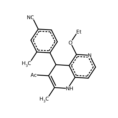 CCOc1nccc2c1C(c1ccc(C#N)cc1C)C(C(C)=O)=C(C)N2